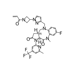 C=CC(=O)N1CC(n2ccc(CN3C[C@H]4CC(=O)N(c5cc(C(F)(F)F)cc(C)n5)[C@@H]4C(=O)N(C)c4cc(F)ccc43)n2)C1